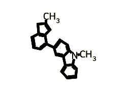 CC1=Cc2c(cccc2-c2ccc3c(c2)c2ccccc2n3C)C1